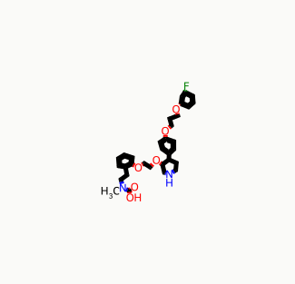 CN(CCc1ccccc1OCCOC1CNCCC1c1ccc(OCCCOc2cccc(F)c2)cc1)C(=O)O